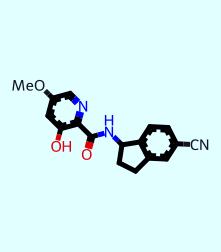 COc1cnc(C(=O)NC2CCc3cc(C#N)ccc32)c(O)c1